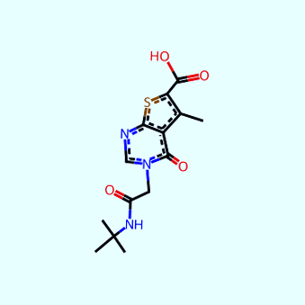 Cc1c(C(=O)O)sc2ncn(CC(=O)NC(C)(C)C)c(=O)c12